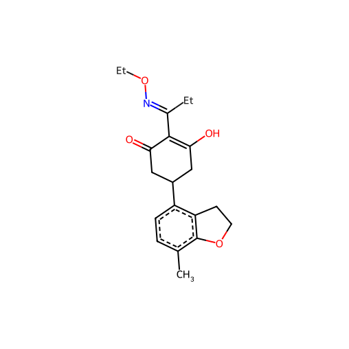 CCON=C(CC)C1=C(O)CC(c2ccc(C)c3c2CCO3)CC1=O